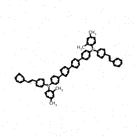 Cc1ccc(N(c2ccc(/C=C/c3ccccc3)cc2)c2ccc(-c3ccc(-c4ccc(-c5ccc(N(c6ccc(/C=C/c7ccccc7)cc6)c6ccc(C)cc6C)cc5)cc4)cc3)cc2)c(C)c1